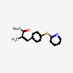 COC(=O)C(C)=Cc1ccc(Sc2ccccn2)cc1